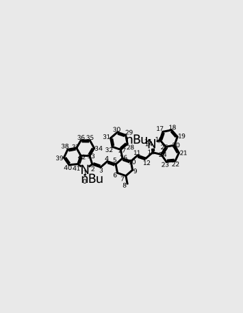 CCCCn1/c(=C/C=C2\CC(C)CC(/C=C/C3=[N+](CCCC)c4cccc5cccc3c45)=C2c2ccccc2)c2cccc3cccc1c32